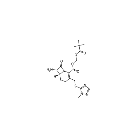 Cn1nnnc1SCC1=C(C(=O)OCOC(=O)C(C)(C)C)N2C(=O)C(N)[C@H]2SC1